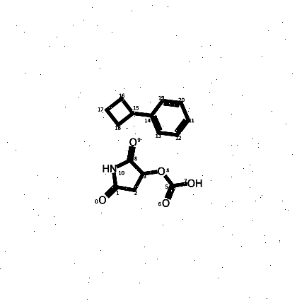 O=C1CC(OC(=O)O)C(=O)N1.c1ccc(C2CCC2)cc1